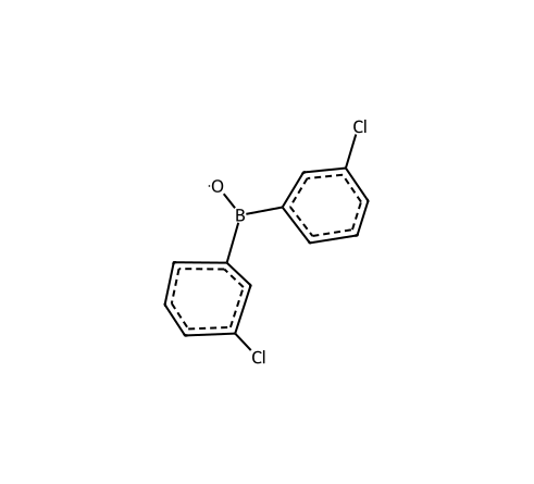 [O]B(c1cccc(Cl)c1)c1cccc(Cl)c1